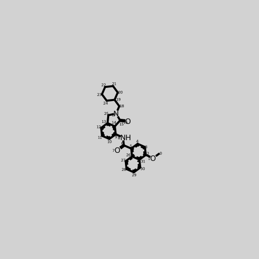 COc1ccc(C(=O)Nc2cccc3c2C(=O)N(CC2CCCCC2)C3)c2ccccc12